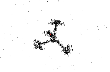 CC(=O)NC1C(OCCOCCOCCNC(=O)CN(CC(=O)NCCOCCOCCOC2OC(CO)C(O)C(O)C2NC(C)=O)C(Cc2ccc(OP(=O)(S)C(C)(C)C)cc2)C(=O)NCCOCCOCCOC2OC(CO)C(O)C(O)C2NC(C)=O)OC(CO)C(O)C1O